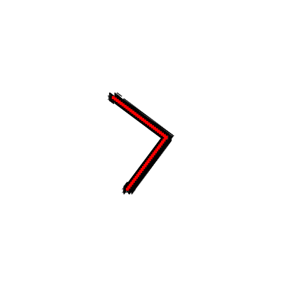 [Cr].[Cr].[Cr].[Cr].[Cr].[Cr].[Cr].[Cr].[Cr].[Cr].[Cr].[Cr].[Cr].[Cr].[Cr].[Cr].[Cr].[Cr].[Cr].[Cr].[Cr].[Cr].[Cr].[Cr].[Cr].[Cr].[Cr].[Cr].[Cr].[Cr].[Cr].[Cr].[Cr].[Cr].[Cr].[Cr].[Cr].[Cr].[Cr].[Cr].[Cr].[Cr].[Cr].[Cr].[Cr].[Cr].[Cr].[Cr].[Cr].[Cr].[Cr].[Cr].[Cr].[Cr].[Cr].[Cr].[Cr].[Cr].[Cr].[Cr].[Cr].[Cr].[Cr].[Cr].[Cr].[Cr].[Cr].[Cr].[Cr].[Cr].[Cr].[Cr].[Cr].[Cr].[Cr].[Cr].[Cr].[Cr].[Cr].[Cr].[Cr].[Cr].[Cr].[Cr].[Cr].[Cr].[Cr].[Cr].[Cr].[Cr].[Cr].[Cr].[Cr].[Cr].[Cr].[Cr].[Cr].[Cr].[Cr].[Cr].[Ni].[Ni].[Ni].[Ni].[Ni].[Ni].[Ni].[Ni].[Ni].[Ni]